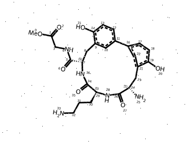 COC(=O)CNC(=O)[C@@H]1Cc2cc(ccc2O)-c2ccc(O)c(c2)C[C@H](N)C(=O)N[C@@H](CCCN)C(=O)N1